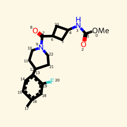 COC(=O)NC1CC(C(=O)N2CCC(c3ccc(C)cc3F)CC2)C1